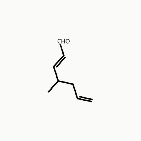 C=CCC(C)C=CC=O